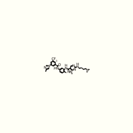 Cc1cn(-c2cc(C(=O)Nc3ccc(C)c(Nc4nn(C)c5nc(NCCCCN(C)C)ncc45)c3)cc(C(F)(F)F)c2)cn1